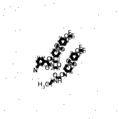 CCCNC(=O)CON=C1CCN(S(=O)(=O)c2ccc(OC(F)(F)F)cc2)CC1.N#Cc1cccc(C(ON=C2CCN(S(=O)(=O)c3ccc(OC(F)(F)F)cc3)CC2)C(=O)N2CCOCC2)c1